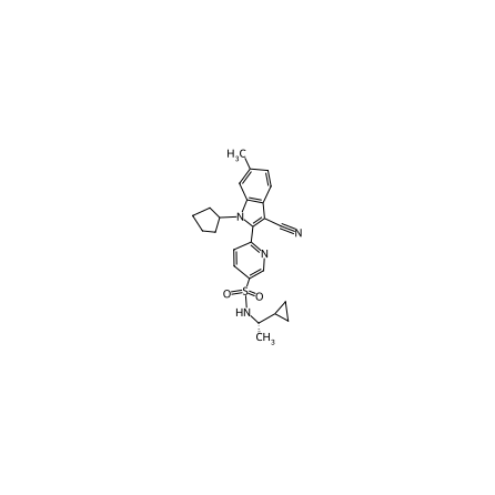 Cc1ccc2c(C#N)c(-c3ccc(S(=O)(=O)N[C@@H](C)C4CC4)cn3)n(C3CCCC3)c2c1